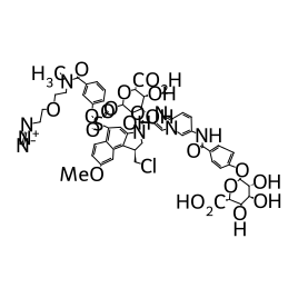 COc1ccc2c(S(=O)(=O)Oc3cc(C(=O)N(C)CCOCCN=[N+]=[N-])ccc3OC3O[C@H](C(=O)O)[C@@H](O)[C@H](O)[C@H]3O)cc3c(c2c1)[C@H](CCl)CN3C(=O)c1cn2cc(NC(=O)c3ccc(O[C@@H]4O[C@H](C(=O)O)[C@@H](O)[C@H](O)[C@H]4O)cc3)ccc2n1